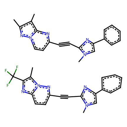 Cc1c(C(F)(F)F)nc2ccc(C#Cc3nc(-c4ccccc4)cn3C)nn12.Cc1nn2ccc(C#Cc3nc(-c4ccccc4)cn3C)nc2c1C